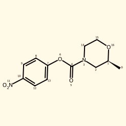 C[C@H]1CN(C(=O)Oc2ccc([N+](=O)[O-])cc2)CCO1